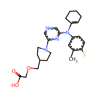 Cc1cc(N(C2=CCCCC2)c2cncc(N3CCC(COCC(=O)O)CC3)n2)ccc1F